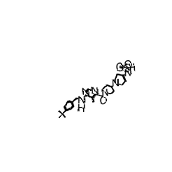 Cc1c(NCc2ccc(C(C)(C)C)cc2)ncnc1C(=O)N1CCC(N2CCC(N(C)[SH](=O)=O)CC2)CC1